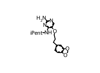 CCCC(C)Nc1nc(N)ncc1OCCCc1ccc2c(c1)OCO2